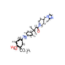 Cc1nccn1CC1CCN(C(=O)CC(C)(C)c2ccc(N=Nc3ccc(O)c(C(=O)O)c3)cc2)CC1